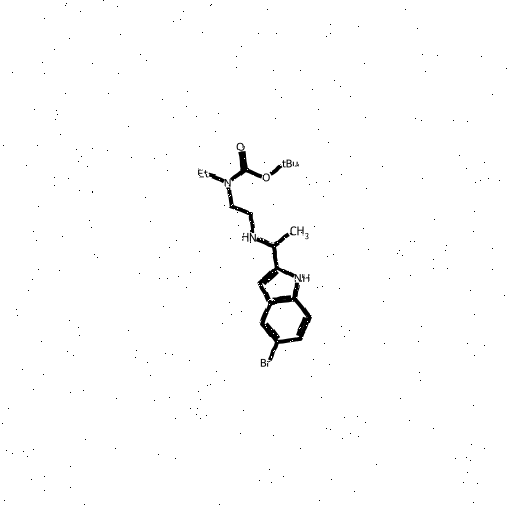 CCN(CCNC(C)c1cc2cc(Br)ccc2[nH]1)C(=O)OC(C)(C)C